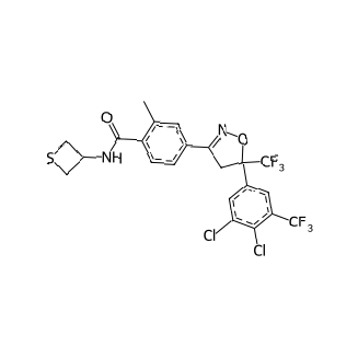 Cc1cc(C2=NOC(c3cc(Cl)c(Cl)c(C(F)(F)F)c3)(C(F)(F)F)C2)ccc1C(=O)NC1CSC1